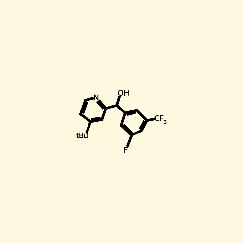 CC(C)(C)c1ccnc(C(O)c2cc(F)cc(C(F)(F)F)c2)c1